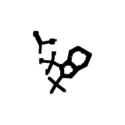 CC(=O)[O-].CC(C)(C)c1cc2ccccc2[s+]1C(F)(F)F